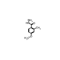 COc1ccc(C(=O)NN)c(C)c1